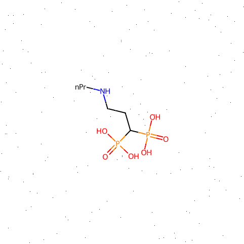 CCCNCCC(P(=O)(O)O)P(=O)(O)O